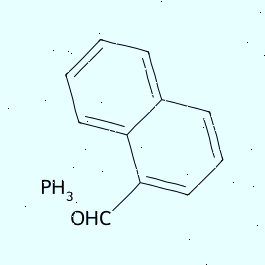 O=Cc1cccc2ccccc12.P